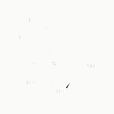 C[C@@H]1CNC[C@H]1N(OC(=O)C(F)(F)F)S(C)(=O)=O